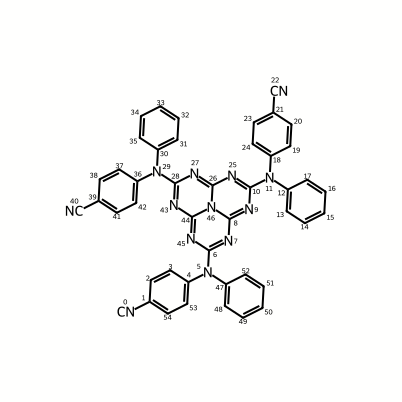 [C-]#[N+]c1ccc(N(C2=NC3=NC(N(c4ccccc4)c4ccc(C#N)cc4)=NC4=NC(N(c5ccccc5)c5ccc(C#N)cc5)=NC(=N2)N43)c2ccccc2)cc1